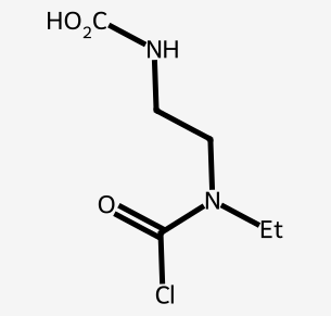 CCN(CCNC(=O)O)C(=O)Cl